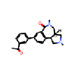 CC(=O)c1cccc(-c2ccc3c(c2)C(=O)N(C)C[C@@H]2CN(C)CC32)c1